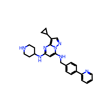 c1ccc(-c2ccc(CNc3cc(NC4CCNCC4)nc4c(C5CC5)cnn34)cc2)nc1